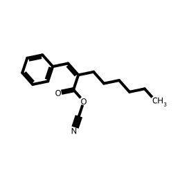 CCCCCCC(=Cc1ccccc1)C(=O)OC#N